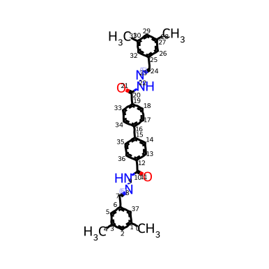 Cc1cc(C)cc(/C=N/NC(=O)c2ccc(-c3ccc(C(=O)N/N=C/c4cc(C)cc(C)c4)cc3)cc2)c1